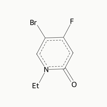 CCn1cc(Br)c(F)cc1=O